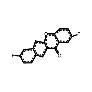 O=c1c2cc(F)ccc2oc2cc3cc(F)ccc3cc12